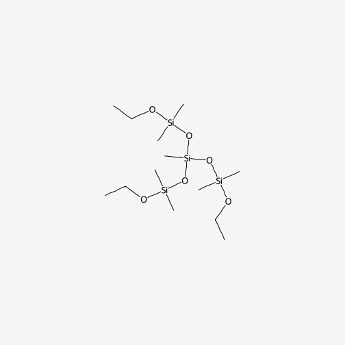 CCO[Si](C)(C)O[Si](C)(O[Si](C)(C)OCC)O[Si](C)(C)OCC